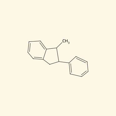 CC1c2ccccc2CC1c1ccccc1